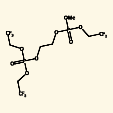 COP(=O)(OCCOP(=O)(OCC(F)(F)F)OCC(F)(F)F)OCC(F)(F)F